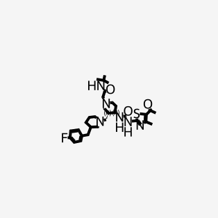 CC(=O)c1sc(NC(=O)N[C@@H]2CCN(CC(=O)NC(C)(C)C)C[C@H]2CN2CCCC(Cc3ccc(F)cc3)C2)nc1C